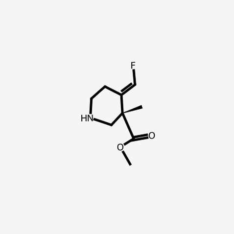 COC(=O)[C@]1(C)CNCC/C1=C\F